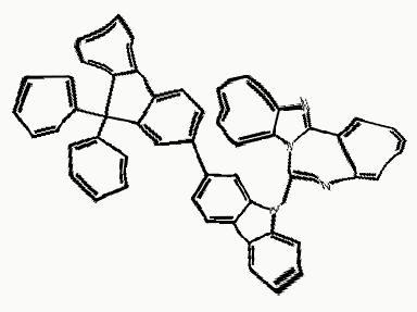 c1ccc(C2(c3ccccc3)c3ccccc3-c3ccc(-c4ccc5c6ccccc6n(-c6nc7ccccc7c7nc8ccccc8n67)c5c4)cc32)cc1